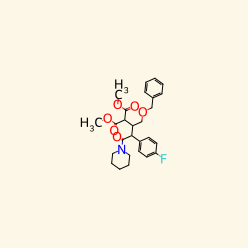 COC(=O)C(C(=O)OC)C(COCc1ccccc1)C(C(=O)N1CCCCC1)c1ccc(F)cc1